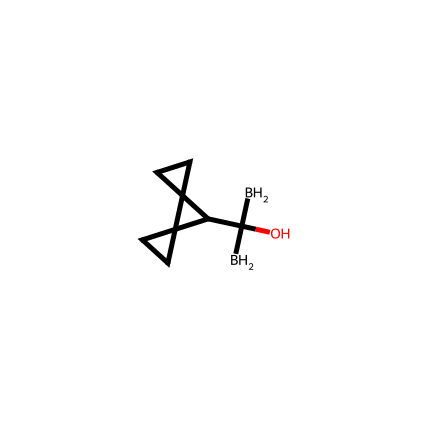 BC(B)(O)C1C2(CC2)C12CC2